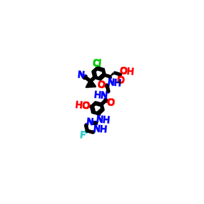 N#CC1(c2cc(Cl)cc([C@H](CC(=O)O)NC(=O)CNC(=O)c3cc(O)cc(NC4=NCC(F)CN4)c3)c2)CC1